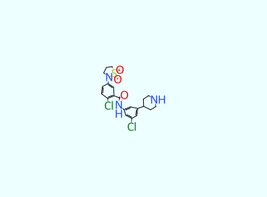 O=C(Nc1cc(Cl)cc(C2CCNCC2)c1)c1cc(N2CCCS2(=O)=O)ccc1Cl